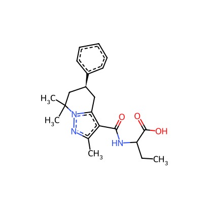 CCC(NC(=O)c1c(C)nn2c1C[C@H](c1ccccc1)CC2(C)C)C(=O)O